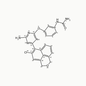 NC(=O)Nc1cccc(Oc2nc(N)nc(-c3c(Cl)cc4c5c(cccc35)COC4)n2)c1